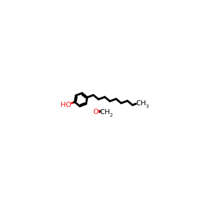 C=O.CCCCCCCCCc1ccc(O)cc1